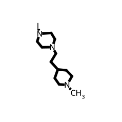 CN1CCC(CCN2CCN(I)CC2)CC1